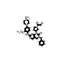 COc1cc(N2CCN(C)CC2)ccc1Nc1ncc2c(n1)N([C@H]1CCN(C(=O)CCl)C1)C(=O)N(Cc1ccccc1)C2